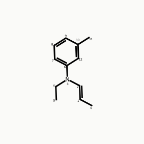 CC=CN(CC)c1cccc(C)c1